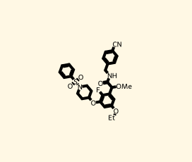 CCOc1cc(OC2CCN(S(=O)(=O)c3ccccc3)CC2)c(F)c(C(OC)C(=O)NCc2ccc(C#N)cc2)c1